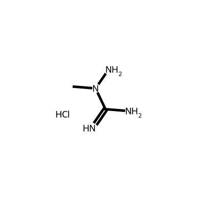 CN(N)C(=N)N.Cl